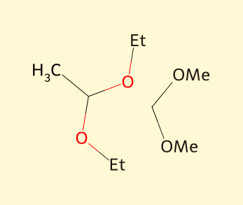 CCOC(C)OCC.COCOC